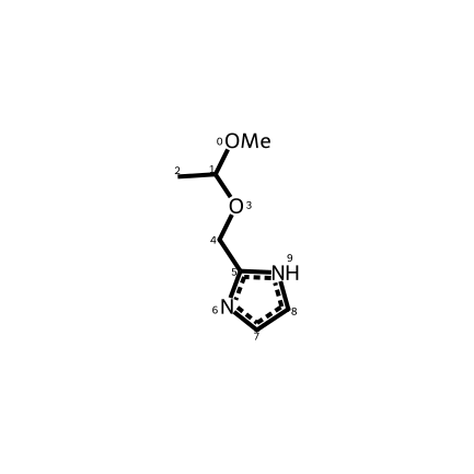 COC(C)OCc1ncc[nH]1